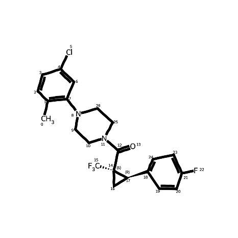 Cc1ccc(Cl)cc1N1CCN(C(=O)[C@]2(C(F)(F)F)C[C@@H]2c2ccc(F)cc2)CC1